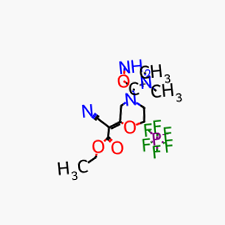 CCOC(=O)C(C#N)=C1CN([C+](ON)N(C)C)CCO1.F[P-](F)(F)(F)(F)F